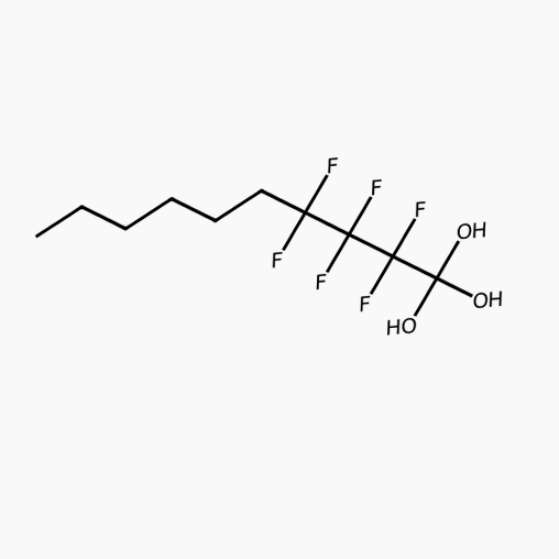 CCCCCCC(F)(F)C(F)(F)C(F)(F)C(O)(O)O